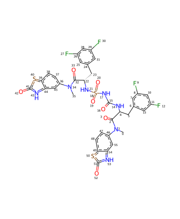 CN(C(=O)C(Cc1cc(F)cc(F)c1)NC(=O)NS(=O)(=O)N[C@@H](Cc1cc(F)cc(F)c1)C(=O)N(C)c1ccc2sc(=O)[nH]c2c1)c1ccc2sc(=O)[nH]c2c1